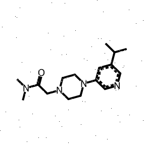 CC(C)c1cncc(N2CCN(CC(=O)N(C)C)CC2)c1